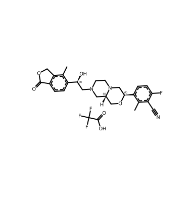 Cc1c([C@@H]2CN3CCN(C[C@H](O)c4ccc5c(c4C)COC5=O)C[C@H]3CO2)ccc(F)c1C#N.O=C(O)C(F)(F)F